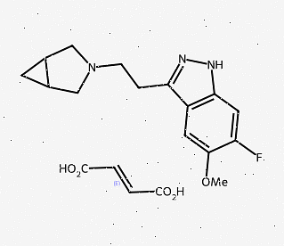 COc1cc2c(CCN3CC4CC4C3)n[nH]c2cc1F.O=C(O)/C=C/C(=O)O